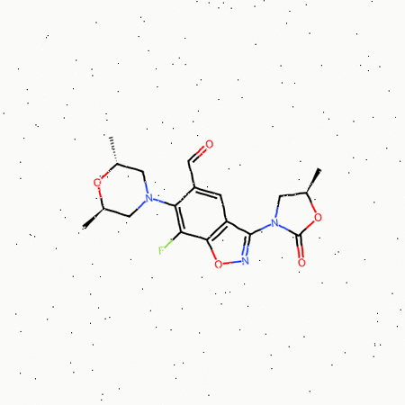 C[C@@H]1CN(c2noc3c(F)c(N4C[C@@H](C)O[C@H](C)C4)c(C=O)cc23)C(=O)O1